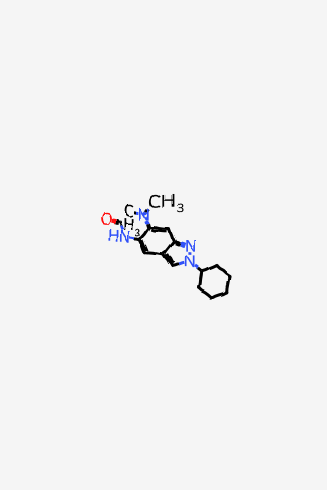 CN(C)c1cc2nn(C3CCCCC3)cc2cc1NC=O